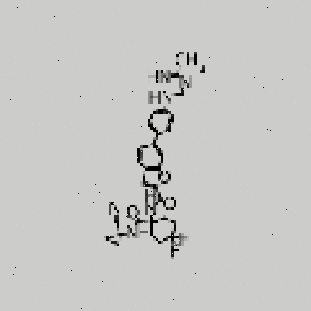 CC(=N)/N=C\Nc1ccc(-c2ccc3cc(C(=O)NC4(C(=O)NC5(C#N)CC5)CCC(F)(F)CC4)oc3c2)cc1